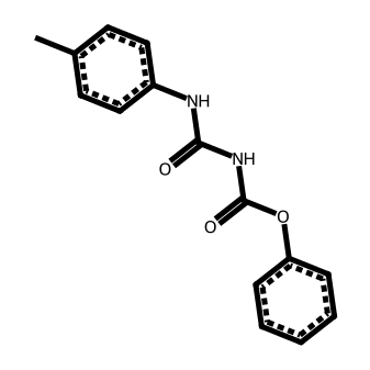 Cc1ccc(NC(=O)NC(=O)Oc2ccccc2)cc1